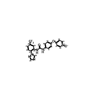 O=C(Nc1ccc(Oc2cc[n+]([O-])cc2)cc1)Nc1cc(C(F)(F)F)ccc1-n1cncn1